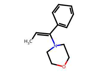 CC=C(c1ccccc1)N1CCOCC1